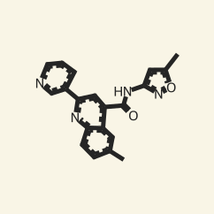 Cc1ccc2nc(-c3cccnc3)cc(C(=O)Nc3cc(C)on3)c2c1